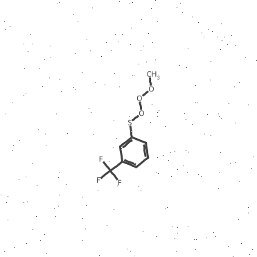 COOOSc1cccc(C(F)(F)F)c1